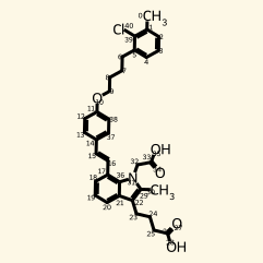 Cc1cccc(CCCCOc2ccc(/C=C/c3cccc4c(CCCC(=O)O)c(C)n(CC(=O)O)c34)cc2)c1Cl